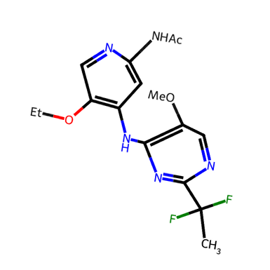 CCOc1cnc(NC(C)=O)cc1Nc1nc(C(C)(F)F)ncc1OC